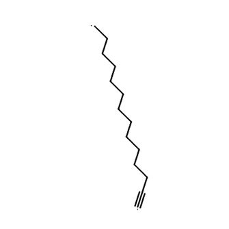 [C]#CCCCCCCCCCCC[CH2]